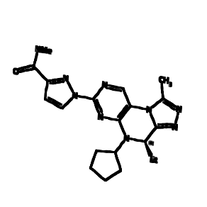 CC[C@@H]1c2nnc(C)n2-c2cnc(-n3ccc(C(=O)NC)n3)nc2N1C1CCCC1